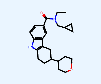 CCN(CC1CC1)C(=O)c1ccc2[nH]c3c(c2c1)CC(C1CCOCC1)CC3